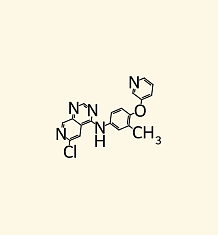 Cc1cc(Nc2ncnc3cnc(Cl)cc23)ccc1Oc1cccnc1